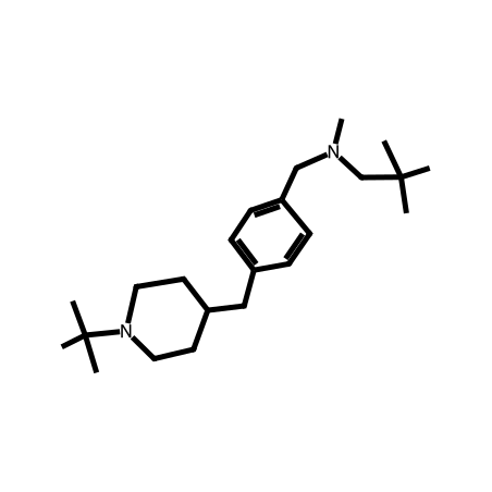 CN(Cc1ccc(CC2CCN(C(C)(C)C)CC2)cc1)CC(C)(C)C